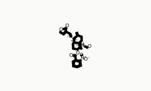 C=C1CC[C@@H]2C(C)(NC=O)[C@H](OC(=O)c3ccccc3[N+](=O)[O-])CC[C@@]2(C)[C@@H]1/C=C/C1=CCOC1=O